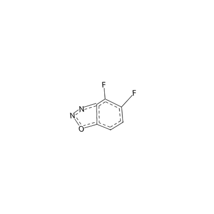 Fc1ccc2onnc2c1F